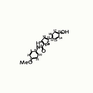 COc1ccc(NC(=O)c2ccc(-c3ccc(O)cc3)s2)cc1